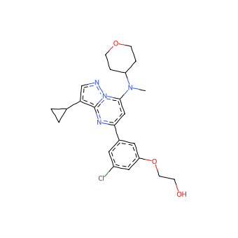 CN(c1cc(-c2cc(Cl)cc(OCCO)c2)nc2c(C3CC3)cnn12)C1CCOCC1